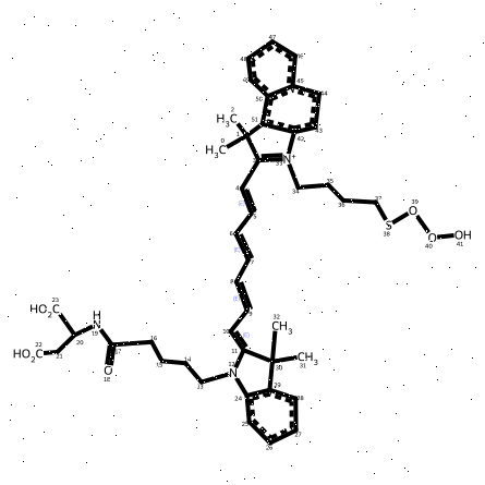 CC1(C)C(/C=C/C=C/C=C/C=C2/N(CCCCC(=O)NC(CC(=O)O)C(=O)O)c3ccccc3C2(C)C)=[N+](CCCCSOOO)c2ccc3ccccc3c21